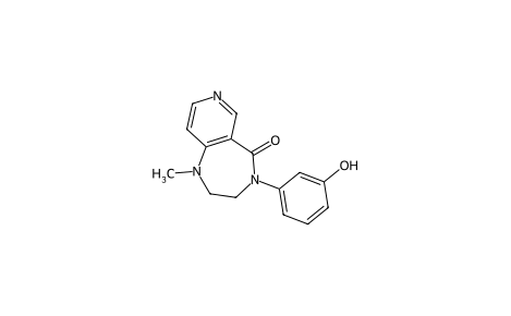 CN1CCN(c2cccc(O)c2)C(=O)c2cnccc21